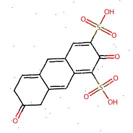 O=C1CC=c2cc3c(cc2C1)=C(S(=O)(=O)O)C(=O)C(S(=O)(=O)O)=C3